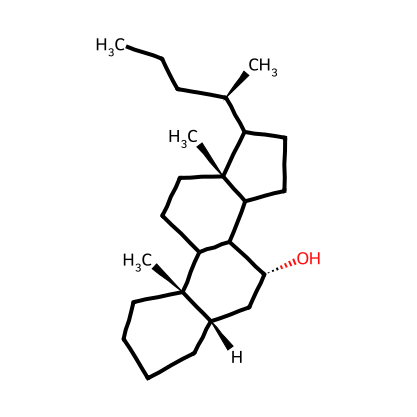 CCC[C@@H](C)C1CCC2C3C(CC[C@@]21C)[C@@]1(C)CCCC[C@H]1C[C@H]3O